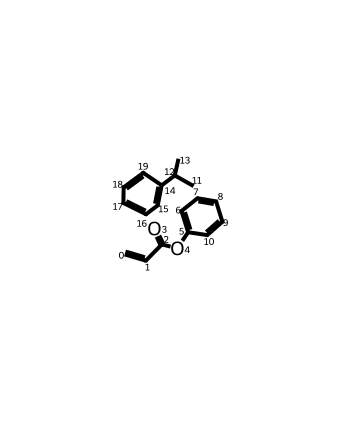 C=CC(=O)Oc1ccccc1.CC(C)c1ccccc1